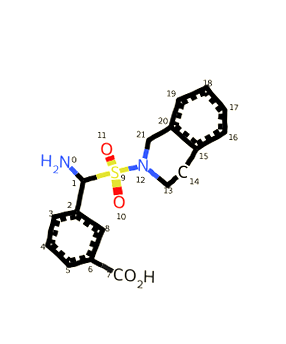 NC(c1cccc(C(=O)O)c1)S(=O)(=O)N1CCc2ccccc2C1